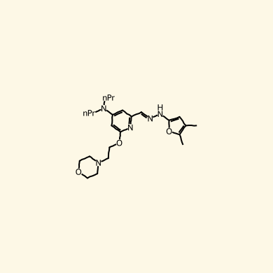 CCCN(CCC)c1cc(/C=N/Nc2cc(C)c(C)o2)nc(OCCN2CCOCC2)c1